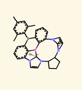 Cc1cc(C)c(B2c3cccc4c3P3c5c2cccc5N2C=CN(C5CCCC5N5C=CN4[C@H]53)[C@H]2C)c(C)c1